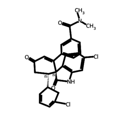 CN(C)C(=O)c1cccc(C2=CC(=O)C[C@@H](C3C=CC=C(Cl)C3)[C@]23C(=O)Nc2cc(Cl)ccc23)c1